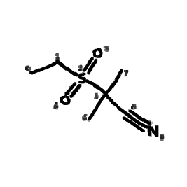 CCS(=O)(=O)C(C)(C)C#N